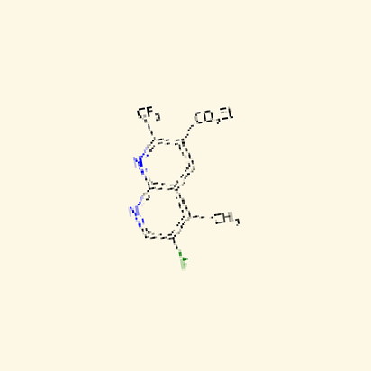 CCOC(=O)c1cc2c(C)c(F)cnc2nc1C(F)(F)F